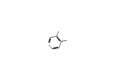 [Li][c]1ccncc1Br